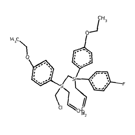 C=CC[Si](CCl)(C[Si](CC=C)(c1ccc(F)cc1)c1ccc(OCC)cc1)c1ccc(OCC)cc1